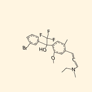 CCN(C)C=C=Cc1cc(OC)c(C(O)(c2cccc(Br)c2)C(F)(F)F)cc1C